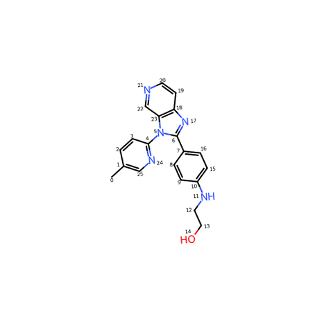 Cc1ccc(-n2c(-c3ccc(NCCO)cc3)nc3ccncc32)nc1